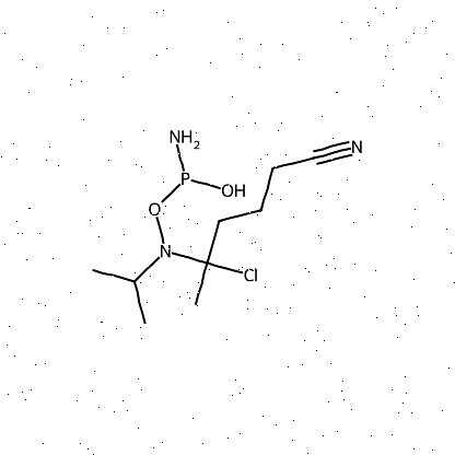 CC(C)N(OP(N)O)C(C)(Cl)CCCC#N